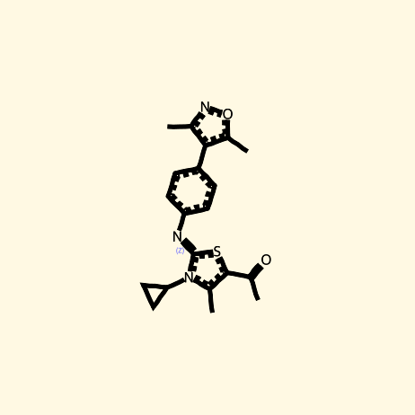 CC(=O)c1s/c(=N\c2ccc(-c3c(C)noc3C)cc2)n(C2CC2)c1C